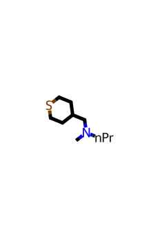 CCCN(C)CC1CCSCC1